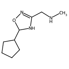 CNCC1=NOC(C2CCCC2)N1